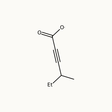 CCC(C)C#CC([O])=O